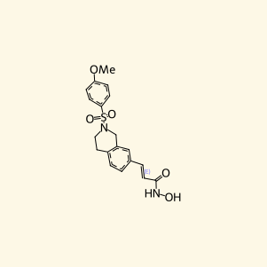 COc1ccc(S(=O)(=O)N2CCc3ccc(/C=C/C(=O)NO)cc3C2)cc1